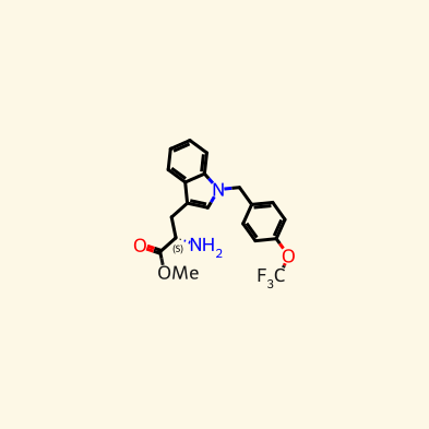 COC(=O)[C@@H](N)Cc1cn(Cc2ccc(OC(F)(F)F)cc2)c2ccccc12